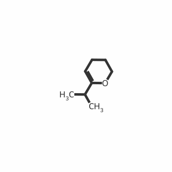 CC(C)C1=CCCCO1